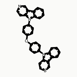 b1ccc2c(c1)c1ccccc1n2-c1ccc(Oc2ccc(-n3c4ccccc4c4cnccc43)cc2)cc1